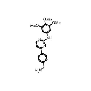 COc1cc(Nc2nccc(-c3ccc(CN)cc3)n2)cc(OC)c1OC